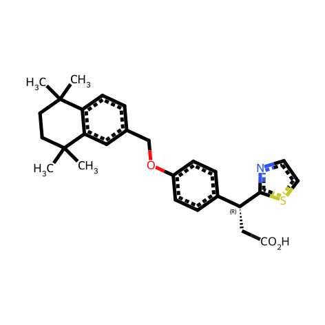 CC1(C)CCC(C)(C)c2cc(COc3ccc([C@@H](CC(=O)O)c4nccs4)cc3)ccc21